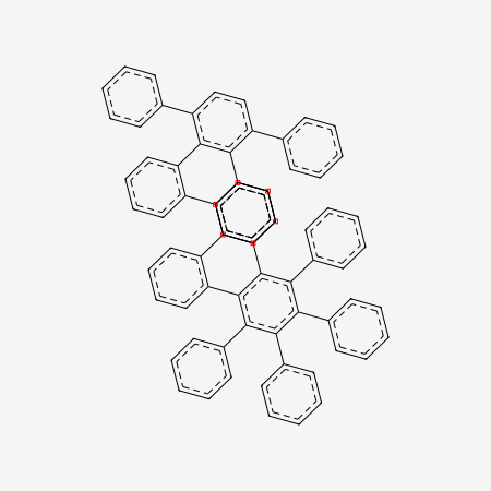 c1ccc(-c2ccc(-c3ccccc3)c(-c3ccccc3-c3ccccc3-c3ccccc3-c3c(-c4ccccc4)c(-c4ccccc4)c(-c4ccccc4)c(-c4ccccc4)c3-c3ccccc3)c2-c2ccccc2)cc1